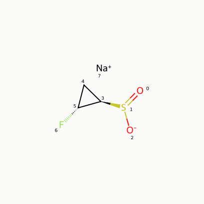 O=S([O-])[C@@H]1C[C@H]1F.[Na+]